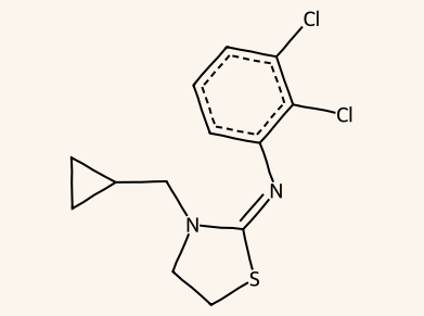 Clc1cccc(N=C2SCCN2CC2CC2)c1Cl